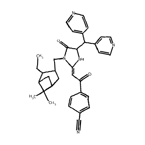 CCC1C(CN2C(=O)C(C(c3ccncc3)c3ccncc3)NC2=CC(=O)c2ccc(C#N)cc2)CC2CC1C2(C)C